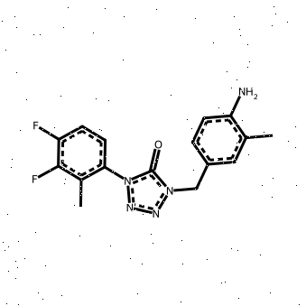 Cc1cc(Cn2nnn(-c3ccc(F)c(F)c3C)c2=O)ccc1N